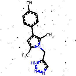 Cc1c(-c2ccc(C#N)cc2)cc(C(F)(F)F)n1Cc1cnn[nH]1